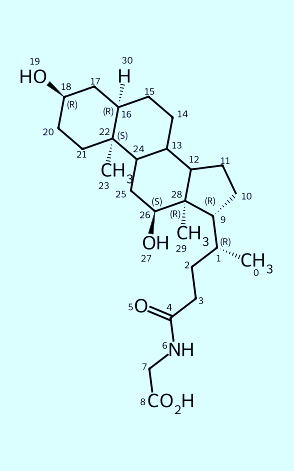 C[C@H](CCC(=O)NCC(=O)O)[C@H]1CCC2C3CC[C@@H]4C[C@H](O)CC[C@]4(C)C3C[C@H](O)[C@@]21C